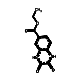 CCOC(=O)c1ccc2[nH]c(=O)c(=O)[nH]c2c1